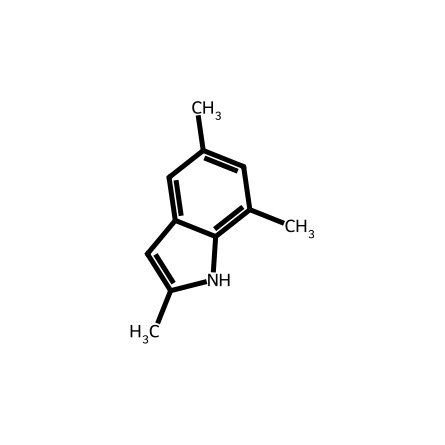 Cc1cc(C)c2[nH]c(C)cc2c1